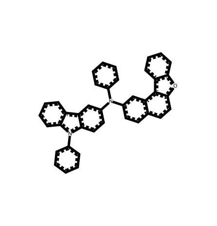 c1ccc(N(c2ccc3ccc4oc5ccccc5c4c3c2)c2ccc3c(c2)c2ccccc2n3-c2ccccc2)cc1